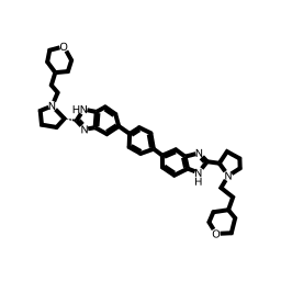 c1cc(-c2ccc3[nH]c([C@@H]4CCCN4CCC4CCOCC4)nc3c2)ccc1-c1ccc2[nH]c(C3CCCN3CCC3CCOCC3)nc2c1